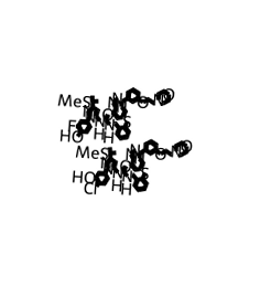 CSC(C)(C)c1cc(NC(=O)NCc2ccccc2Sc2ccc3nnc(-c4cccc(OCCN5CCOCC5)c4)n3c2)n(-c2ccc(Cl)c(O)c2)n1.CSC(C)(C)c1cc(NC(=O)NCc2ccccc2Sc2ccc3nnc(-c4cccc(OCCN5CCOCC5)c4)n3c2)n(-c2ccc(O)c(F)c2)n1